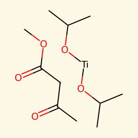 CC(C)[O][Ti][O]C(C)C.COC(=O)CC(C)=O